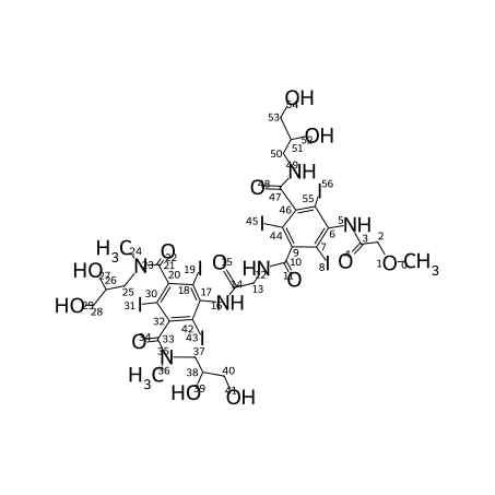 COCC(=O)Nc1c(I)c(C(=O)NCC(=O)Nc2c(I)c(C(=O)N(C)CC(O)CO)c(I)c(C(=O)N(C)CC(O)CO)c2I)c(I)c(C(=O)NCC(O)CO)c1I